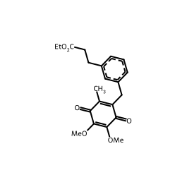 CCOC(=O)CCc1cccc(CC2=C(C)C(=O)C(OC)=C(OC)C2=O)c1